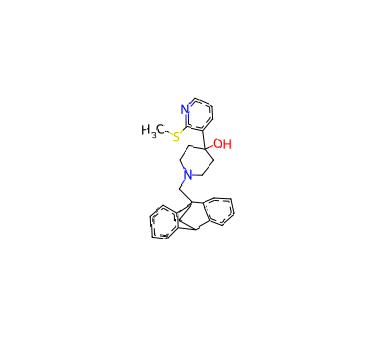 CSc1ncccc1C1(O)CCN(CC23CC(c4ccccc42)c2ccccc23)CC1